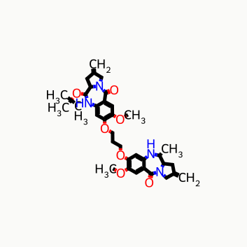 C=C1CC2C(C)Nc3cc(OCCCOc4cc5c(cc4OC)C(=O)N4CC(=C)CC4C(OC(C)(C)C)N5)c(OC)cc3C(=O)N2C1